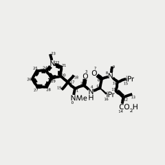 CNC(C(=O)N[C@@H](C(=O)N(C)C(/C=C(\C)C(=O)O)C(C)C)C(C)C)C(C)(C)c1cn(C)c2ccccc12